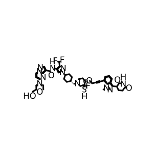 Cn1nc(C2CCC(=O)NC2=O)c2cccc(C#CCO[C@H]3CCN(C[C@H]4CC[C@H](n5cc(NC(=O)c6cnn7ccc(N8CCOC(CO)C8)nc67)c(C(F)F)n5)CC4)C[C@@]3(F)S)c21